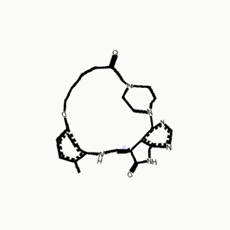 Cc1ccc2cc1N/C=C1\C(=O)Nc3ncnc(c31)N1CCN(CC1)C(=O)CCCCO2